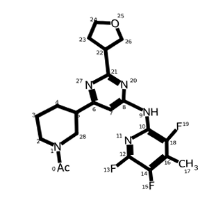 CC(=O)N1CCCC(c2cc(Nc3nc(F)c(F)c(C)c3F)nc(C3CCOC3)n2)C1